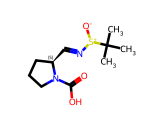 CC(C)(C)[S+]([O-])N=C[C@@H]1CCCN1C(=O)O